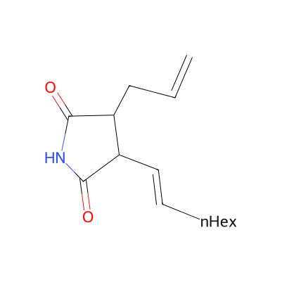 C=CCC1C(=O)NC(=O)C1C=CCCCCCC